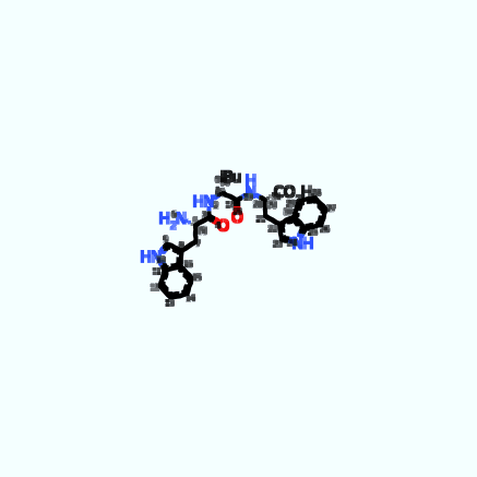 CC[C@H](C)[C@H](NC(=O)[C@@H](N)Cc1c[nH]c2ccccc12)C(=O)N[C@@H](Cc1c[nH]c2ccccc12)C(=O)O